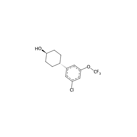 O[C@H]1CC[C@H](c2cc(Cl)cc(OC(F)(F)F)c2)CC1